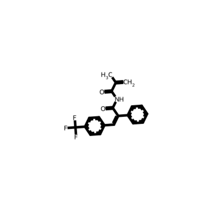 C=C(C)C(=O)NC(=O)/C(=C\c1ccc(C(F)(F)F)cc1)c1ccccc1